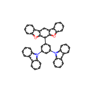 c1ccc2c(c1)oc1c(-c3cc(-n4c5ccccc5c5ccccc54)cc(-n4c5ccccc5c5ccccc54)c3)c3oc4ccccc4c3cc12